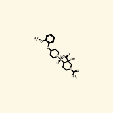 COc1ccccc1OC1CCN(S(=O)(=O)C2CCN(C(N)=O)CC2(O)C(=O)O)CC1